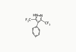 FC(F)(F)c1n[nH]c(C(F)(F)F)c1-c1cc[c]cc1